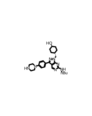 CCCCNc1ncc2c(-c3ccc(N4CCNCC4)cc3)nn(C[C@H]3CC[C@H](O)CC3)c2n1